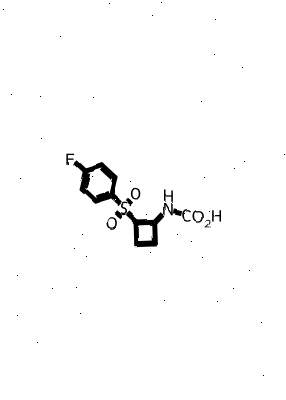 O=C(O)NC1CCC1S(=O)(=O)c1ccc(F)cc1